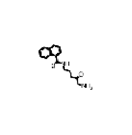 NCC(=O)CCCNC(=O)c1cccc2ccccc12